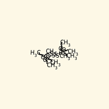 CCCO[Si](CC(C)SSSSSC(C)C[Si](OCCC)(OCCC)OCCC)(OCCC)OCCC